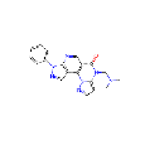 Cc1cc2n(CN(C)C)c(=O)c3cnc4c(cnn4-c4ccccc4)c3n2n1